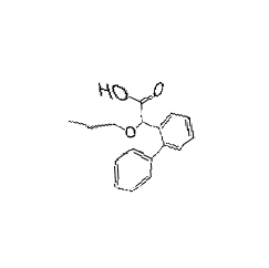 CCCOC(C(=O)O)c1ccccc1-c1ccccc1